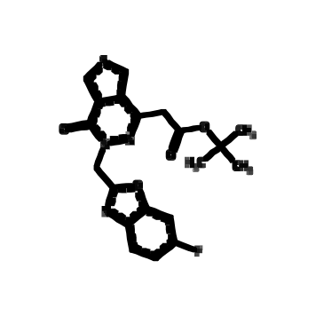 CC(C)(C)OC(=O)Cc1nn(Cc2nc3ccc(F)cc3o2)c(=O)c2cscc12